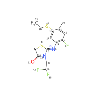 Cc1cc(F)c(/N=C2\SCC(=O)N2CC(F)F)cc1SCC(F)(F)F